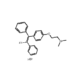 Br.CC/C(=C(\c1ccccc1)c1ccc(OCCN(C)C)cc1)c1ccccc1